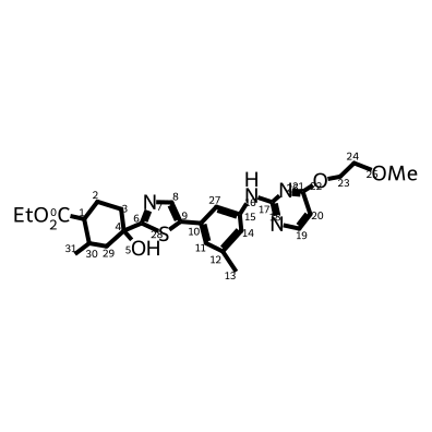 CCOC(=O)C1CCC(O)(c2ncc(-c3cc(C)cc(Nc4nccc(OCCOC)n4)c3)s2)CC1C